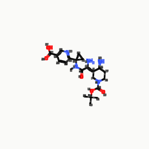 CN(C(=O)/C(N)=C1\CN(C(=O)OC(C)(C)C)CCC1=N)C1(c2ccc(C(=O)O)cn2)CC1